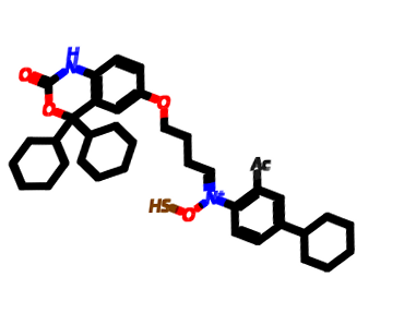 CC(=O)c1cc(C2CCCCC2)ccc1[N+](=CCCCOc1ccc2c(c1)C(C1CCCCC1)(C1CCCCC1)OC(=O)N2)OS